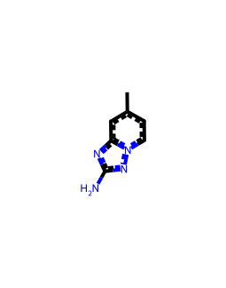 Cc1ccn2nc(N)nc2c1